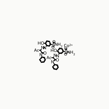 CC(=O)C(N=Nc1cc(S(N)(=O)=O)ccc1O)C(=O)[N-]c1ccccc1.CC(=O)C(N=Nc1cc(S(N)(=O)=O)ccc1O)C(=O)[N-]c1ccccc1.[Co+2]